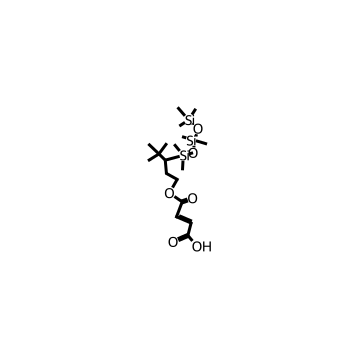 CC(C)(C)C(CCOC(=O)C=CC(=O)O)[Si](C)(C)O[Si](C)(C)O[Si](C)(C)C